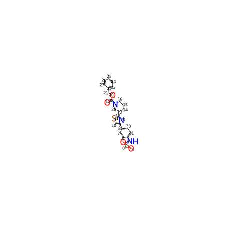 CS(=O)(=O)Nc1ccc(-c2csc(C3CCCN(C(=O)OCc4ccccc4)C3)n2)cc1